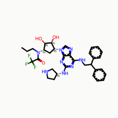 CCCN(C(=O)C(F)(F)F)[C@H]1C[C@@H](n2cnc3c(NCC(c4ccccc4)c4ccccc4)nc(N[C@@H]4CCNC4)nc32)[C@H](O)[C@@H]1O